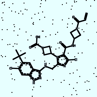 C=CC(=O)N1CC(NC(=O)c2c(Cl)nc(CNc3n[nH]c4cc(Cl)c(C(C)(C)C)cc34)n2C2CN(C(=O)O)C2)C1